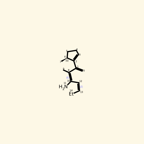 C=C(C1=CCC[C@@H]1C)/C(C)=C(N)\C=C/CC